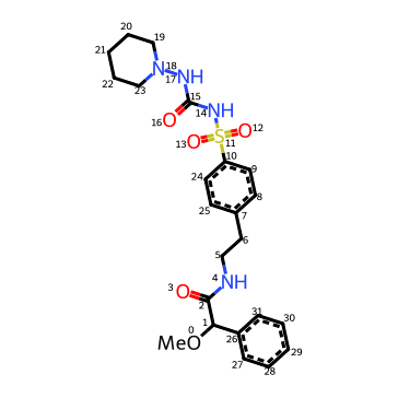 COC(C(=O)NCCc1ccc(S(=O)(=O)NC(=O)NN2CCCCC2)cc1)c1ccccc1